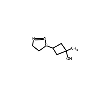 CC1(O)CC(N2CCN=N2)C1